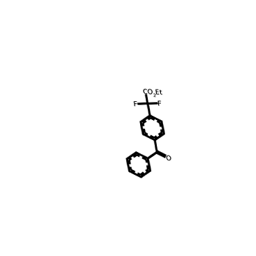 CCOC(=O)C(F)(F)c1ccc(C(=O)c2ccccc2)cc1